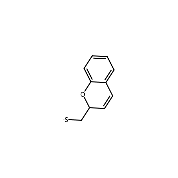 [S]CC1C=Cc2ccccc2O1